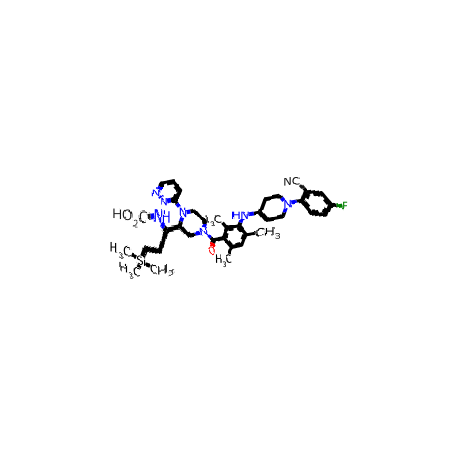 Cc1cc(C)c(C(=O)N2CCN(c3cccnn3)C(C(CC[Si](C)(C)C)NC(=O)O)C2)c(C)c1NC1CCN(c2ccc(F)cc2C#N)CC1